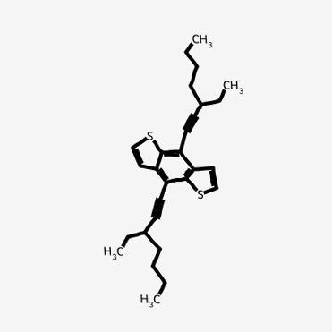 CCCCC(C#Cc1c2ccsc2c(C#CC(CC)CCCC)c2ccsc12)CC